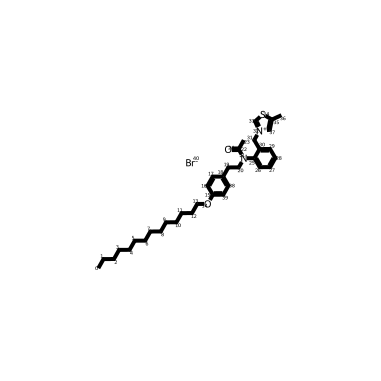 CCCCCCCCCCCCCCOc1ccc(CCN(C(C)=O)c2ccccc2C[n+]2csc(C)c2)cc1.[Br-]